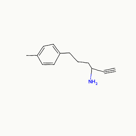 C#CC(N)CCCc1ccc(C)cc1